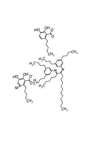 CCCCCCCCCCCC(=Nc1cc(CCCC)cc(CCCC)c1)C(CCCCC)=Nc1cc(CCCC)cc(CCCC)c1.CCCCCc1ccc(O)c(O)c1C(=O)[O-].CCCCCc1ccc(O)c(O)c1C(=O)[O-].[Ni+2]